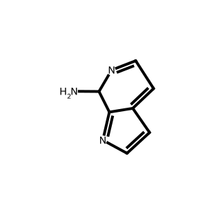 NC1N=CC=C2C=CN=C21